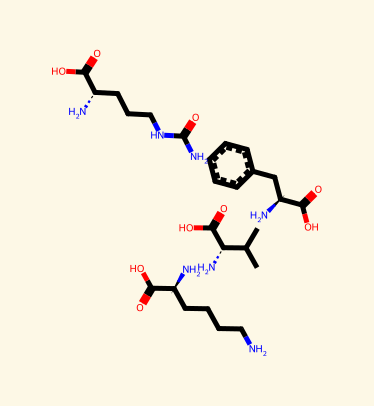 CC(C)[C@H](N)C(=O)O.NC(=O)NCCC[C@H](N)C(=O)O.NCCCC[C@H](N)C(=O)O.N[C@@H](Cc1ccccc1)C(=O)O